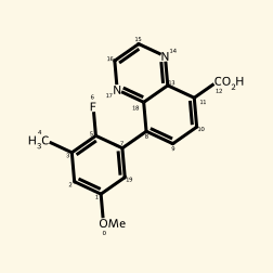 COc1cc(C)c(F)c(-c2ccc(C(=O)O)c3nccnc23)c1